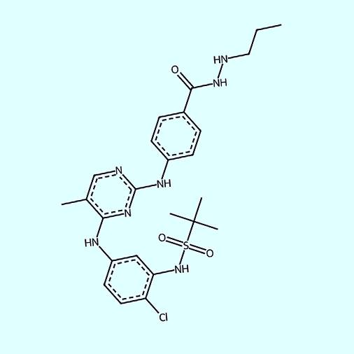 CCCNNC(=O)c1ccc(Nc2ncc(C)c(Nc3ccc(Cl)c(NS(=O)(=O)C(C)(C)C)c3)n2)cc1